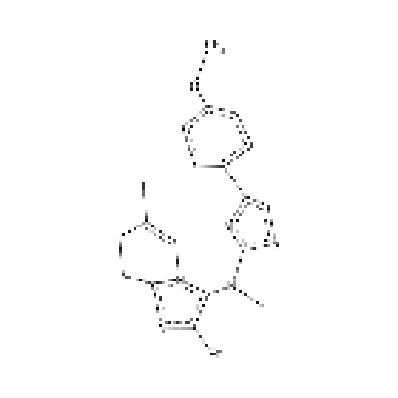 CCc1nc2n(c1N(C)c1nc(-c3ccc(OC(F)(F)F)cc3)cs1)C=C(I)CC2